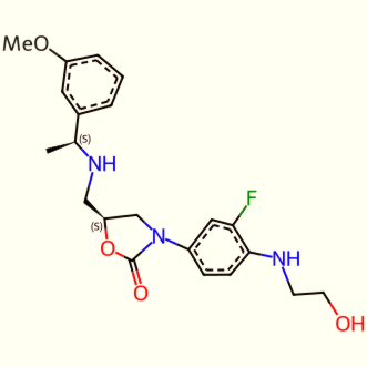 COc1cccc([C@H](C)NC[C@H]2CN(c3ccc(NCCO)c(F)c3)C(=O)O2)c1